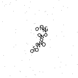 c1ccc(-c2cccc(-c3cccc(-c4cccc(-n5c6ccccc6c6cc7c(cc65)c5ccccc5n7-c5cccc(-c6cccc7c6sc6ccccc67)n5)c4)n3)n2)cc1